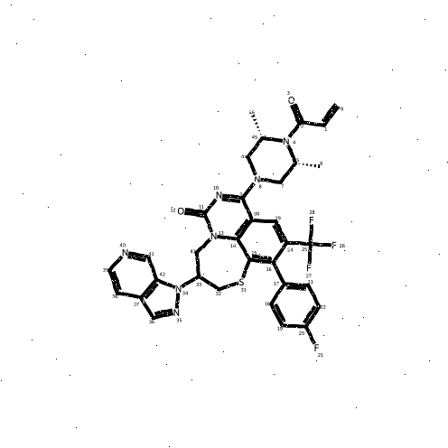 C=CC(=O)N1[C@H](C)CN(c2nc(=O)n3c4c(c(-c5ccc(F)cc5)c(C(F)(F)F)cc24)SCC(n2ncc4ccncc42)C3)C[C@@H]1C